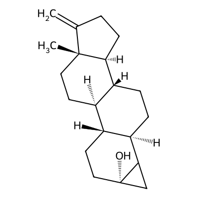 C=C1CC[C@H]2[C@@H]3CC[C@H]4C5C[C@@]5(O)CC[C@@H]4[C@H]3CC[C@]12C